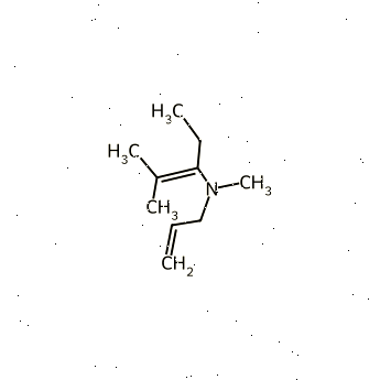 C=CCN(C)C(CC)=C(C)C